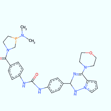 CN(C)P1CCN(C(=O)c2ccc(NC(=O)Nc3ccc(C4N=C(N5CCOCC5)c5cccn5N4)cc3)cc2)C1